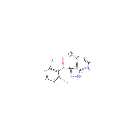 O=C(c1c(F)cccc1F)c1c[nH]c2nccc(C(F)(F)F)c12